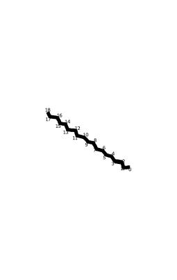 C[CH]C=CCCCCCCCCCCCCCCC